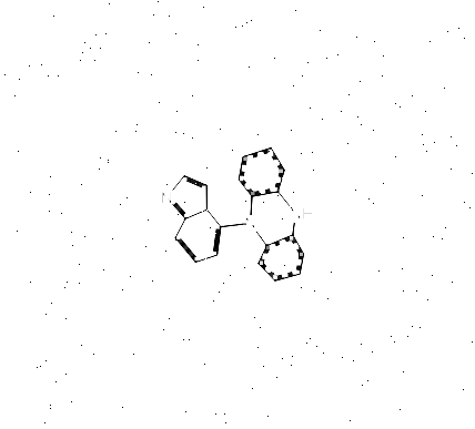 C1=CC2=NC=CC2C(N2c3ccccc3Nc3ccccc32)=C1